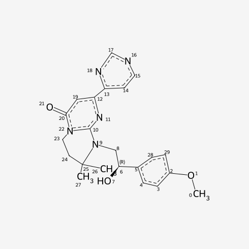 COc1ccc([C@@H](O)CN2c3nc(-c4ccncn4)cc(=O)n3CCC2(C)C)cc1